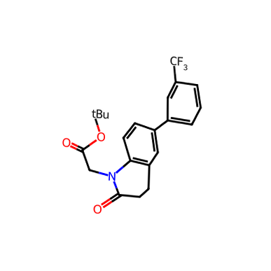 CC(C)(C)OC(=O)CN1C(=O)CCc2cc(-c3cccc(C(F)(F)F)c3)ccc21